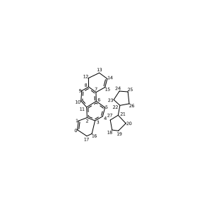 C1=Cc2c(ccc3c4c(ccc23)CCC=C4)CC1.C1CCC(C2CCCC2)C1